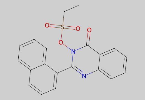 CCS(=O)(=O)On1c(-c2cccc3ccccc23)nc2ccccc2c1=O